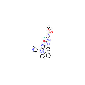 Cc1cc(-c2nn(C(c3ccccc3)(c3ccccc3)c3ccccc3)c3cc(NC(=O)NC4CN(C(=O)OC(C)(C)C)CC4F)ncc23)ccn1